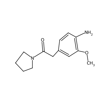 COc1cc(CC(=O)N2CCCC2)ccc1N